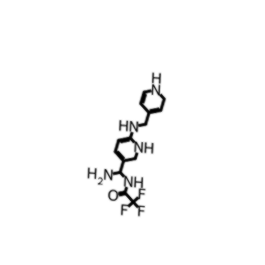 NC(NC(=O)C(F)(F)F)C1=CC=C(NCC2=CCNC=C2)NC1